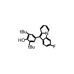 CC(C)(C)c1cc(-c2c3ccc(F)cc3n3ccccc23)cc(C(C)(C)C)c1O